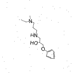 [CH2]CN(C)CCCNCC(O)COc1ccccc1